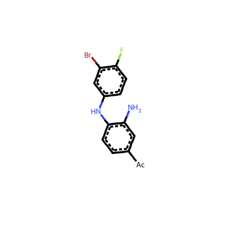 CC(=O)c1ccc(Nc2ccc(F)c(Br)c2)c(N)c1